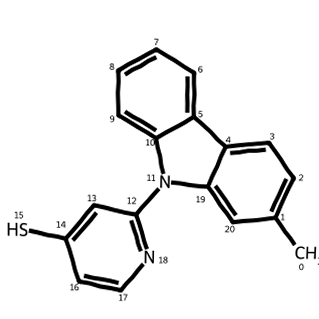 Cc1ccc2c3ccccc3n(-c3cc(S)ccn3)c2c1